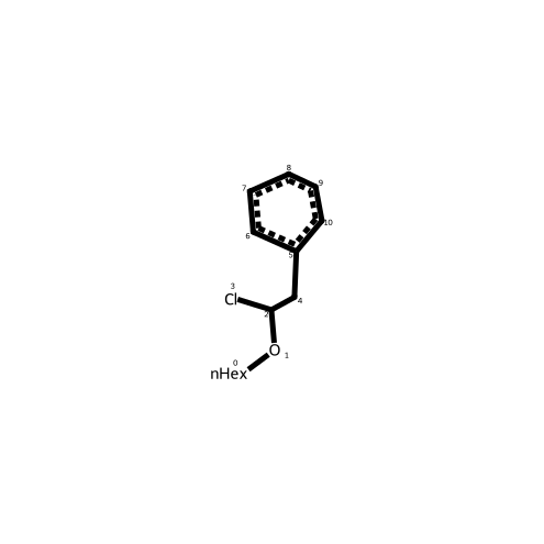 CCCCCCOC(Cl)Cc1ccccc1